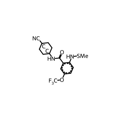 CSNc1ccc(OC(F)(F)F)cc1C(=O)NC12CCC(C#N)(CC1)CC2